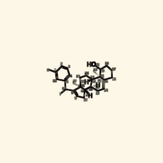 Cc1cccc(C(C)C2=CC[C@H]3[C@@H]4CC=C5CCCC(O)[C@]5(C)[C@H]4CC[C@]23C)c1